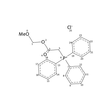 COCOC(=O)C[P+](c1ccccc1)(c1ccccc1)c1ccccc1.[Cl-]